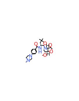 CO[C@@H]1CN(C(=O)[C@H](CC(C)(C)C)NC(=O)c2ccc(N3CCN(C)CC3)cc2)[C@@H]2C(=O)CO[C@@H]21